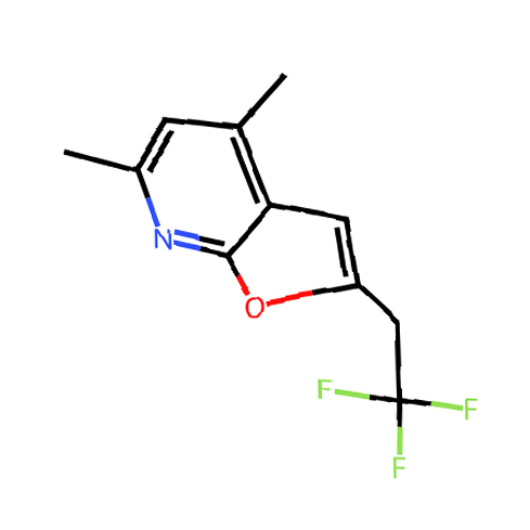 Cc1cc(C)c2cc(CC(F)(F)F)oc2n1